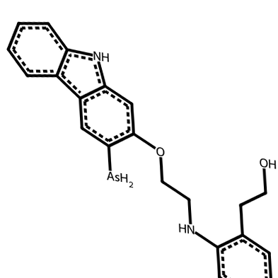 OCCc1ccccc1NCCOc1cc2[nH]c3ccccc3c2cc1[AsH2]